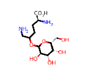 NCC(CC[C@H](N)C(=O)O)OC1O[C@H](CO)[C@H](O)[C@H](O)[C@H]1O